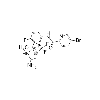 C[C@@]1(c2cc(NC(=O)c3ccc(Br)cn3)ccc2F)NC(N)C[C@@H]1C(F)(F)F